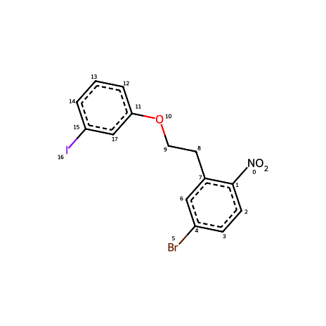 O=[N+]([O-])c1ccc(Br)cc1CCOc1cccc(I)c1